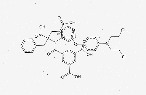 O=C(N[C@@H](CC(Cc1ccccc1)(C(=O)O)N(C(=O)c1cc(C(=O)O)cc(C(=O)O)c1)c1ccccc1)C(=O)O)Oc1ccc(N(CCCl)CCCl)cc1